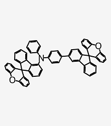 c1ccc(N(c2ccc(-c3ccc4c(c3)-c3ccccc3C43c4ccccc4Oc4ccccc43)cc2)c2cccc3c2-c2ccccc2C32c3ccccc3Oc3ccccc32)cc1